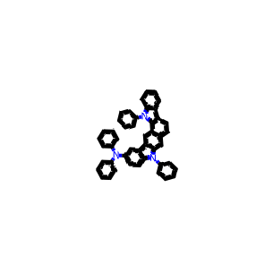 c1ccc(N(c2ccccc2)c2ccc3c(c2)c2cc4c(ccc5c6ccccc6n(-c6ccccc6)c45)cc2n3-c2ccccc2)cc1